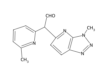 Cc1cccc(C(C=O)c2ccc3nnn(C)c3n2)n1